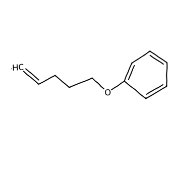 [CH]=CCCCOc1ccccc1